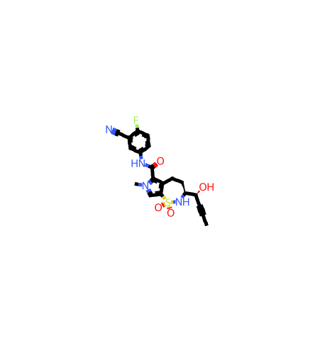 CC#C[C@@H](O)[C@@H]1CCc2c(cn(C)c2C(=O)Nc2ccc(F)c(C#N)c2)S(=O)(=O)N1